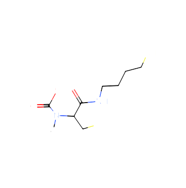 CN(C(=O)O)C(CS)C(=O)NCCCCS